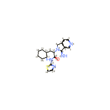 N=C1c2cnccc2CN1C(CC1CCCCC1)C(=O)Nc1nccs1